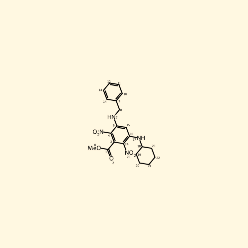 COC(=O)c1c([N+](=O)[O-])c(NCc2ccccc2)cc(NC2CCCCC2)c1[N+](=O)[O-]